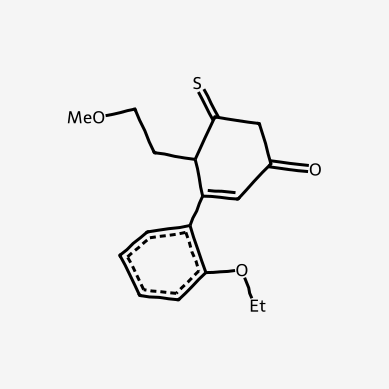 CCOc1ccccc1C1=CC(=O)CC(=S)C1CCOC